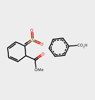 COC(=O)C1C=CC=CC1=S(=O)=O.O=C(O)c1ccccc1